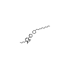 CCCCCCCCCC[C@H]1CC[C@H](C2C=CC(c3ccc(CCCC)c(F)c3F)=CC2)CC1